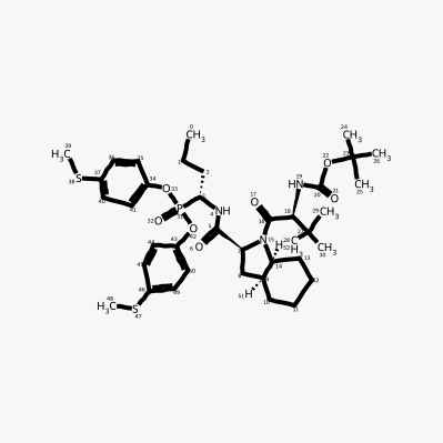 CCC[C@H](NC(=O)[C@@H]1C[C@@H]2CCCC[C@@H]2N1C(=O)[C@@H](NC(=O)OC(C)(C)C)C(C)(C)C)P(=O)(Oc1ccc(SC)cc1)Oc1ccc(SC)cc1